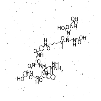 CN1C(=O)[C@@H](Cc2ccc(O)cc2)NC(=O)CNC(=O)[C@H](Cc2ccc3ccccc3c2)NC(=O)[C@H](CCCNC(=N)N)NC(=O)[C@H]1CCCNC(=O)c1ccc(NC(=O)CCCCCNC(=O)CN(CCNCC(=O)O)CCN(CCNCC(=O)O)CC(=O)O)cc1